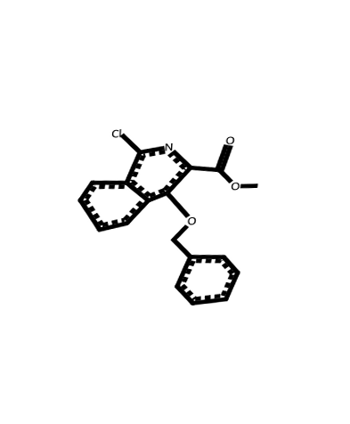 COC(=O)c1nc(Cl)c2ccccc2c1OCc1ccccc1